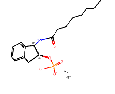 CCCCCCCC(=O)N[C@@H]1c2ccccc2C[C@@H]1OP(=O)([O-])[O-].[Na+].[Na+]